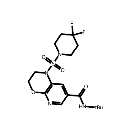 CC(C)(C)NC(=O)c1cnc2c(c1)N(S(=O)(=O)N1CCC(F)(F)CC1)CCO2